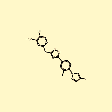 CC1=C[SH](c2ccc(-c3nc(Cc4ccc(O)c(C(=O)O)c4)no3)cc2C)C=C1